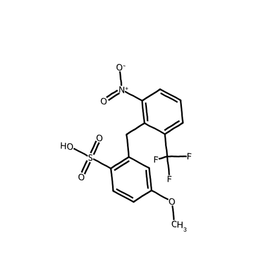 COc1ccc(S(=O)(=O)O)c(Cc2c([N+](=O)[O-])cccc2C(F)(F)F)c1